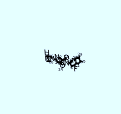 C=C1C=C2C(F)=CC(NC(=O)c3cnc(N4CCNCC4)cc3OC)=CN2C=C1C